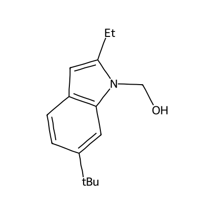 CCc1cc2ccc(C(C)(C)C)cc2n1CO